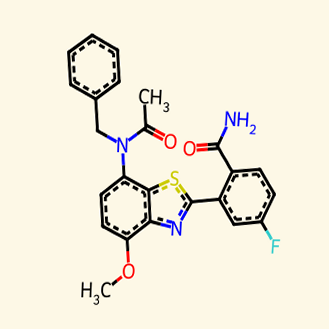 COc1ccc(N(Cc2ccccc2)C(C)=O)c2sc(-c3cc(F)ccc3C(N)=O)nc12